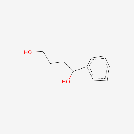 OCCCC(O)c1ccccc1